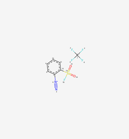 F[B-](F)(F)F.N#[N+]c1ccccc1S(=O)(=O)F